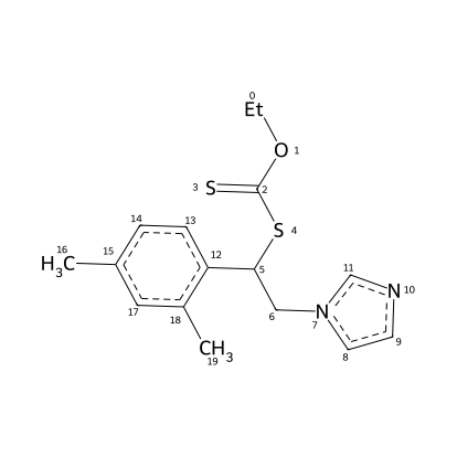 CCOC(=S)SC(Cn1ccnc1)c1ccc(C)cc1C